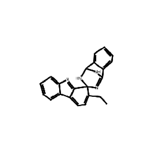 CCC1=CC=C2C(=Nc3ccccc32)C12N=C1NC(N2)c2ccccc21